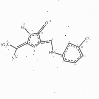 CCOC(=O)C(C#N)=c1sc(=CNc2cccc(C(F)(F)F)c2)c(=O)n1CC